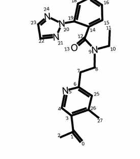 C=C(C)c1cnc(CCN(CC)C(=O)c2ccccc2-n2nccn2)cc1C